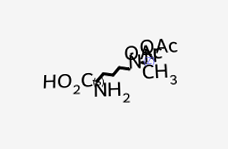 CC(=O)O/N=C(/C)N(CCCC[C@H](N)C(=O)O)OC(C)=O